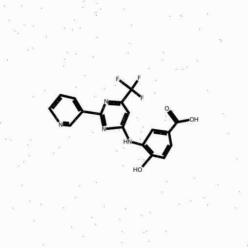 O=C(O)c1ccc(O)c(Nc2cc(C(F)(F)F)nc(-c3cccnc3)n2)c1